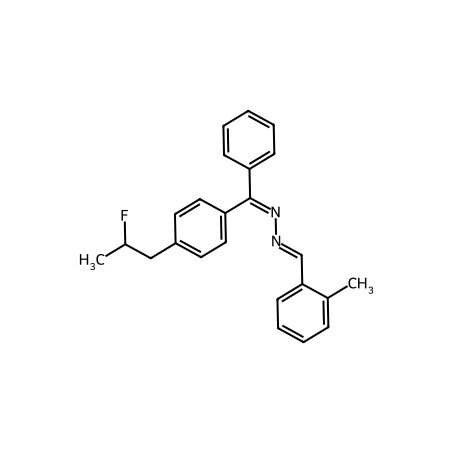 Cc1ccccc1C=NN=C(c1ccccc1)c1ccc(CC(C)F)cc1